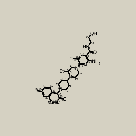 CC[C@H]1CN(c2nc(N)c(C(=O)NCCO)nc2Cl)CCN1C1CCN(C(C(=O)OC)c2ccc(C)cc2OC)CC1